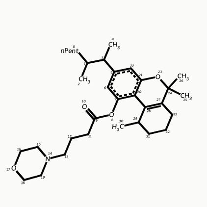 CCCCCC(C)C(C)c1cc(OC(=O)CCCN2CCOCC2)c2c(c1)OC(C)(C)C1=C2C(C)CCC1